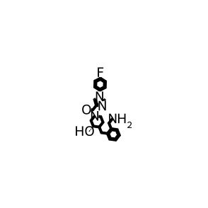 NCc1ccccc1CC1CCN(C(=O)c2cn(-c3ccc(F)cc3)cn2)C[C@H]1O